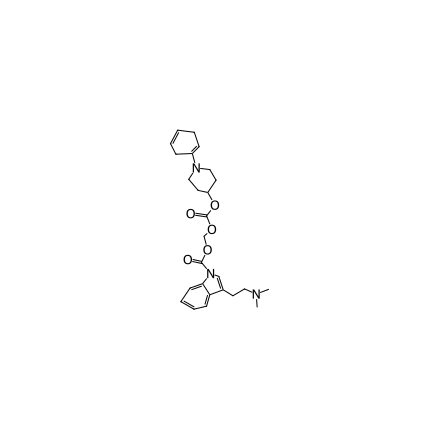 CN(C)CCc1cn(C(=O)OCOC(=O)OC2CCN(C3=CCC=CC3)CC2)c2ccccc12